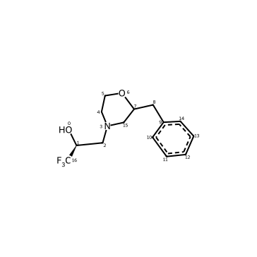 O[C@@H](CN1CCOC(Cc2ccccc2)C1)C(F)(F)F